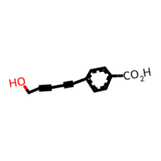 O=C(O)c1ccc(C#CC#CCO)cc1